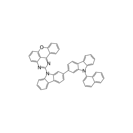 c1ccc2c(c1)Oc1cccc3nc(-n4c5ccccc5c5ccc(-c6ccc7c8ccccc8n(-c8cccc9ccccc89)c7c6)cc54)nc-2c13